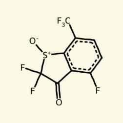 O=C1c2c(F)ccc(C(F)(F)F)c2[S+]([O-])C1(F)F